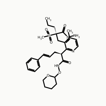 CCC[C@@](Cc1c(C)ccnc1[C@H](C/C=C/c1ccccc1)C(=O)NOC1CCCCO1)(C(=O)NN)S(C)(=O)=O